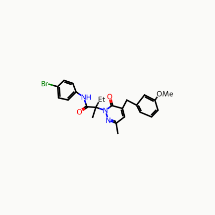 CCC(C)(C(=O)Nc1ccc(Br)cc1)n1nc(C)cc(Cc2cccc(OC)c2)c1=O